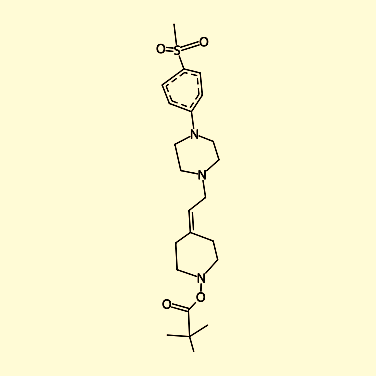 CC(C)(C)C(=O)ON1CCC(=CCN2CCN(c3ccc(S(C)(=O)=O)cc3)CC2)CC1